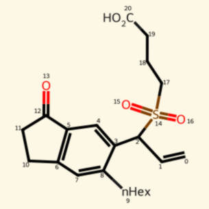 C=CC(c1cc2c(cc1CCCCCC)CCC2=O)S(=O)(=O)CCCC(=O)O